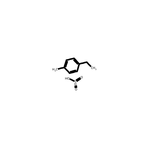 CCc1ccc(C)cc1.O=[SH](=O)O